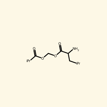 CC(C)CC(N)C(=O)OCOC(=O)C(C)C